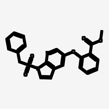 COC(=O)c1ccccc1Oc1cnc2c(ccn2S(=O)(=O)Cc2ccccc2)c1